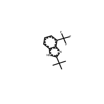 CC(C)(C)c1nc2c(C(F)(F)F)cccc2[nH]1